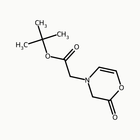 CC(C)(C)OC(=O)CN1C=COC(=O)C1